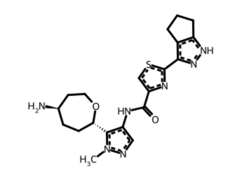 Cn1ncc(NC(=O)c2csc(-c3n[nH]c4c3CCC4)n2)c1[C@@H]1CC[C@@H](N)CCO1